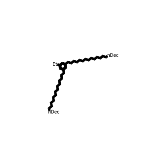 [CH2]Cc1cc(CCCCCCCCCCCCCCCCCCCCCCCC)cc(CCCCCCCCCCCCCCCCCCCCCCCC)c1